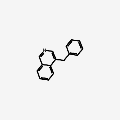 c1ccc(Cc2cncc3ccccc23)cc1